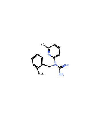 COc1ccccc1CN(C(=N)N)c1cccc(C#N)n1